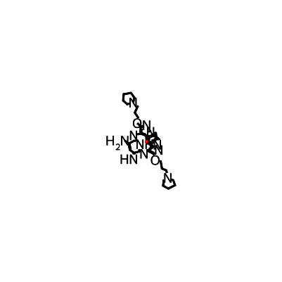 N=C1C=C(N)/C(=N/c2c(OCCCN3CCCCC3)nn3ccccc23)N/C1=N\c1c(OCCCN2CCCCC2)nn2ccccc12